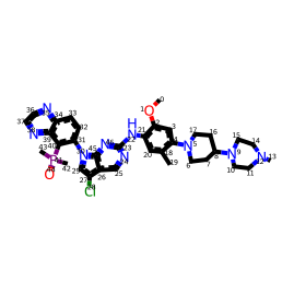 COc1cc(N2CCC(N3CCN(C)CC3)CC2)c(C)cc1Nc1ncc2c(Cl)cn(-c3ccc4nccnc4c3P(C)(C)=O)c2n1